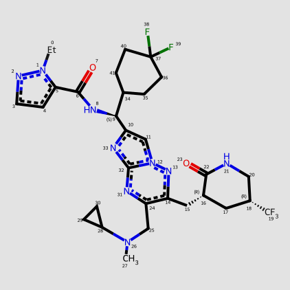 CCn1nccc1C(=O)N[C@H](c1cn2nc(C[C@H]3C[C@@H](C(F)(F)F)CNC3=O)c(CN(C)C3CC3)nc2n1)C1CCC(F)(F)CC1